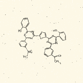 CC(=O)c1cccc(-c2nc(-c3ccc(-c4nc(-c5cccc(C(C)=O)c5)nc(-c5ccccc5O)n4)o3)nc(-c3ccccc3O)n2)c1